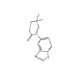 CC1(C)C=C(c2ccc3scnc3c2)C(=O)CC1